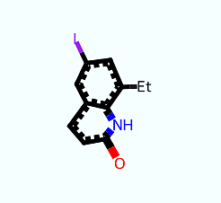 CCc1cc(I)cc2ccc(=O)[nH]c12